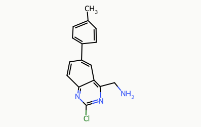 Cc1ccc(-c2ccc3nc(Cl)nc(CN)c3c2)cc1